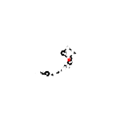 CCCNC(=O)c1ccc(OC(=O)OCCOCCNC(=S)Nc2ccc(CC3CN(CC(=O)O)CCN(CC(=O)O)Cc4cccc(n4)CN3CC(=O)O)cc2)cc1